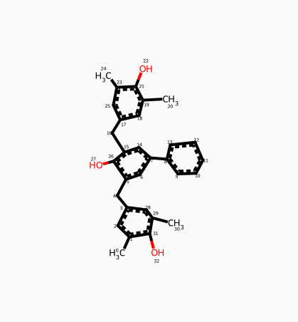 Cc1cc(Cc2cc(-c3ccccc3)cc(Cc3cc(C)c(O)c(C)c3)c2O)cc(C)c1O